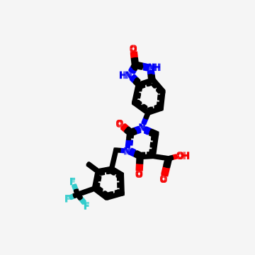 Cc1c(Cn2c(=O)c(C(=O)O)cn(-c3ccc4[nH]c(=O)[nH]c4c3)c2=O)cccc1C(F)(F)F